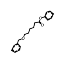 O=C(CCCCCOCc1ccccc1)Oc1ccccc1